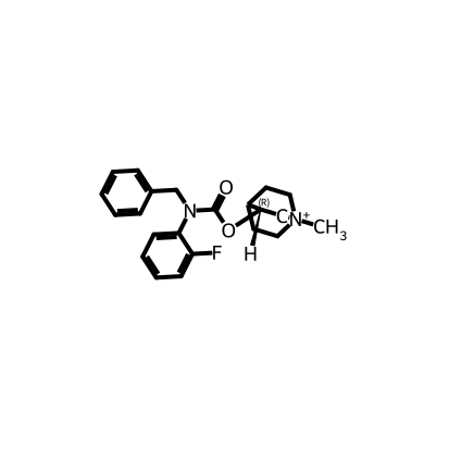 C[N+]12CCC(CC1)[C@@H](OC(=O)N(Cc1ccccc1)c1ccccc1F)C2